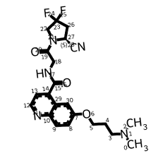 CN(C)CCCOc1ccc2nccc(C(=O)NCC(=O)N3CC(F)(F)C[C@H]3C#N)c2c1